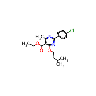 CCOC(=O)c1c(C)nc(-c2ccc(Cl)cc2)nc1OCCC(C)C